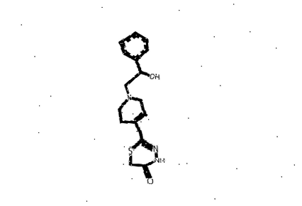 O=C1CSC(C2=CCN(CC(O)c3ccccc3)CC2)=NN1